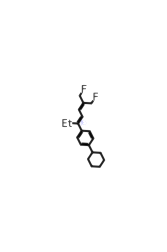 CC/C(=C\C=C(CF)CF)c1ccc(C2CCCCC2)cc1